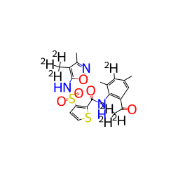 [2H]c1c(C)cc(C(=O)C([2H])([2H])[2H])c(NC(=O)c2sccc2S(=O)(=O)Nc2onc(C)c2C([2H])([2H])[2H])c1C